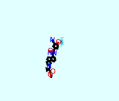 CCOC(=O)C1(CN2CCC3(CCc4c(-c5noc(-c6ccc(OC(F)F)c(C#N)c6)n5)cccc43)C2)CC1